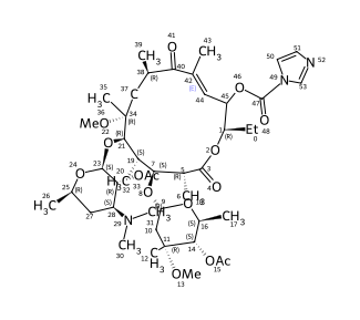 CC[C@H]1OC(=O)[C@H](C)[C@@H](O[C@H]2C[C@@](C)(OC)[C@@H](OC(C)=O)[C@H](C)O2)[C@H](C)[C@@H](O[C@@H]2O[C@H](C)C[C@H](N(C)C)[C@H]2OC(C)=O)[C@](C)(OC)C[C@@H](C)C(=O)/C(C)=C/C1OC(=O)n1ccnc1